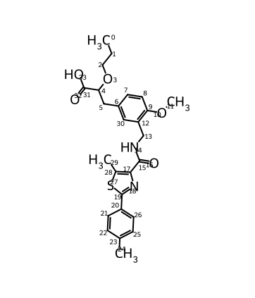 CCCOC(Cc1ccc(OC)c(CNC(=O)c2nc(-c3ccc(C)cc3)sc2C)c1)C(=O)O